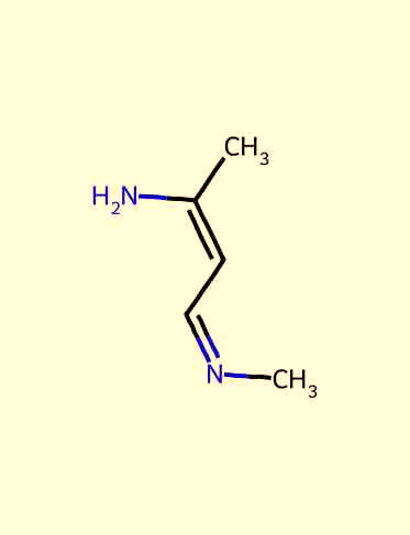 C/N=C\C=C(\C)N